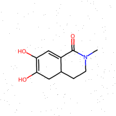 CN1CCC2CC(O)=C(O)C=C2C1=O